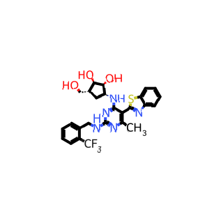 Cc1nc(NCc2ccccc2C(F)(F)F)nc(N[C@@H]2C[C@H](CO)[C@@H](O)[C@H]2O)c1-c1nc2ccccc2s1